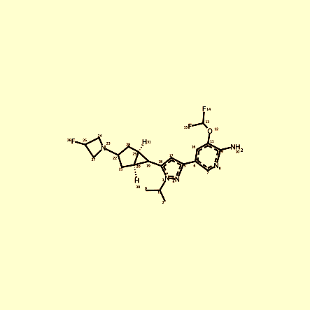 CC(C)n1nc(-c2cnc(N)c(OC(F)F)c2)cc1C1[C@H]2CC(N3CC(F)C3)C[C@@H]12